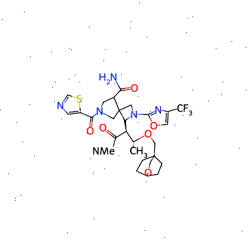 CNC(=O)[C@@H](C1N(c2nc(C(F)(F)F)co2)CC12CN(C(=O)c1cncs1)CC2C(N)=O)[C@@H](C)OCC12CCC(CC1)OC2